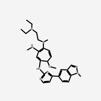 CCN(CC)CCN(C)C1=C(NC)C=C(Nc2nccc(-c3ccc4c(cnn4C)c3)n2)C(OC)C=C1